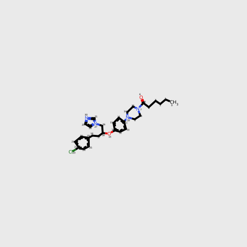 CCCCCC(=O)N1CCN(c2ccc(OC(CCc3ccc(Cl)cc3)Cn3ccnc3)cc2)CC1